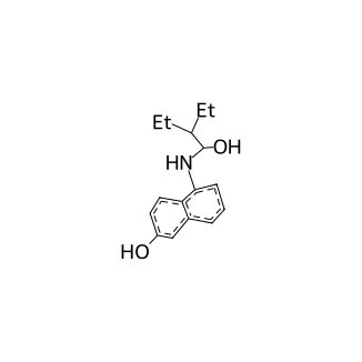 CCC(CC)C(O)Nc1cccc2cc(O)ccc12